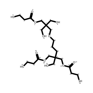 O=C(CCS)OCC(CO)(CO)COCCCC(CO)(COC(=O)CCS)COC(=O)CCS